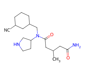 CC(CC(N)=O)CC(=O)N(CC1CCCC(C#N)C1)C1CCNC1